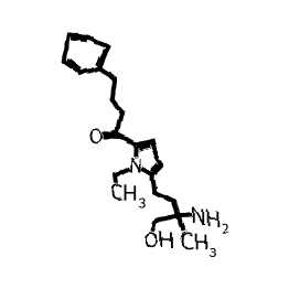 CCn1c(CCC(C)(N)CO)ccc1C(=O)CCCc1ccccc1